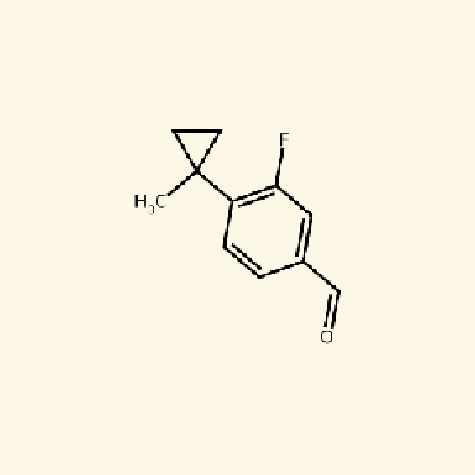 CC1(c2ccc(C=O)cc2F)CC1